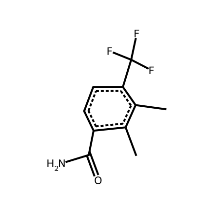 Cc1c(C(N)=O)ccc(C(F)(F)F)c1C